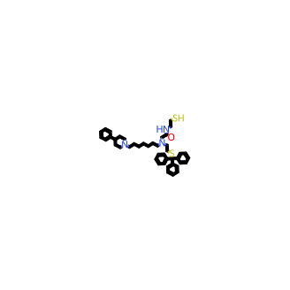 O=C(CN(CCCCCCCN1CCC(c2ccccc2)CC1)CCSC(c1ccccc1)(c1ccccc1)c1ccccc1)NCCS